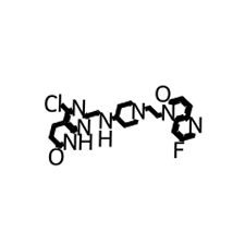 O=C1CCc2c(Cl)nc(CNC3CCN(CCn4c(=O)ccc5ncc(F)cc54)CC3)nc2N1